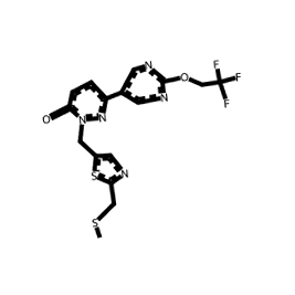 CSCc1ncc(Cn2nc(-c3cnc(OCC(F)(F)F)nc3)ccc2=O)s1